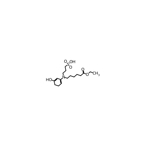 CCOC(=O)CCCCCN(CCCS(=O)(=O)O)C1=CCCC(O)=C1